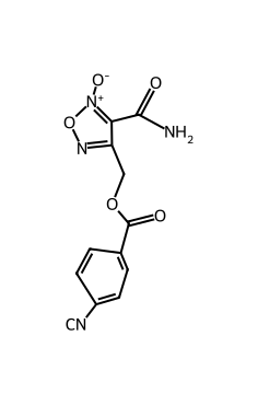 [C-]#[N+]c1ccc(C(=O)OCc2no[n+]([O-])c2C(N)=O)cc1